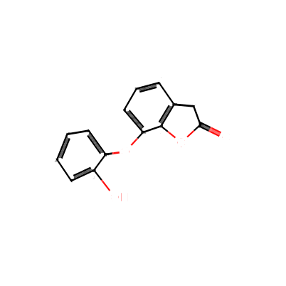 O=C1Cc2cccc(Oc3ccccc3O)c2O1